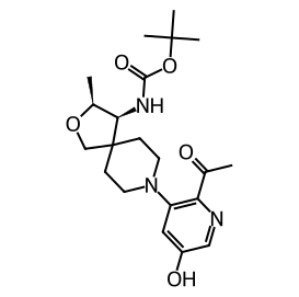 CC(=O)c1ncc(O)cc1N1CCC2(CC1)CO[C@@H](C)[C@H]2NC(=O)OC(C)(C)C